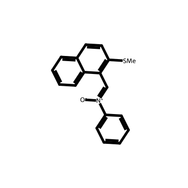 CSc1ccc2ccccc2c1C=[N+]([O-])c1ccccc1